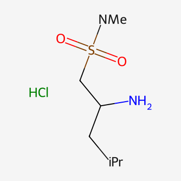 CNS(=O)(=O)CC(N)CC(C)C.Cl